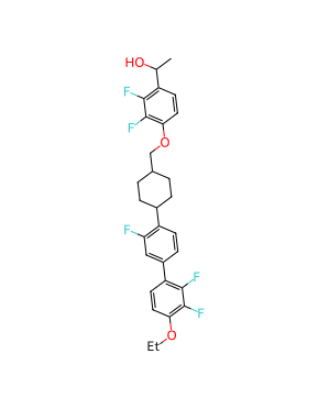 CCOc1ccc(-c2ccc(C3CCC(COc4ccc(C(C)O)c(F)c4F)CC3)c(F)c2)c(F)c1F